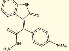 CC(=O)Nc1ccc(C(C(=O)NN)=C2C(=O)Nc3ccccc32)cc1